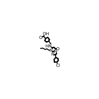 CCCCCn1c(NCc2ccc(C(=O)O)cc2)cc(=O)n2cc(-c3ccc(Cl)cc3)nc12